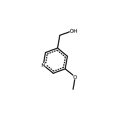 COc1cncc(CO)c1